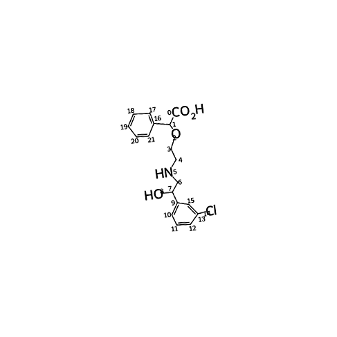 O=C(O)C(OCCNCC(O)c1cccc(Cl)c1)c1ccccc1